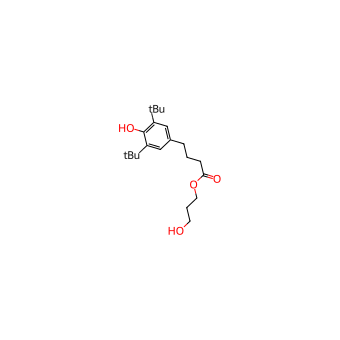 CC(C)(C)c1cc(CCCC(=O)OCCCO)cc(C(C)(C)C)c1O